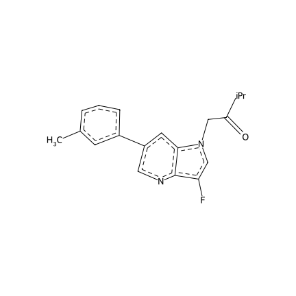 Cc1cccc(-c2cnc3c(F)cn(CC(=O)C(C)C)c3c2)c1